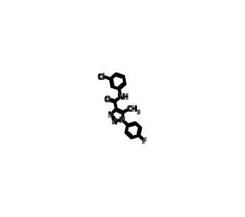 Cc1c(C(=O)Nc2cccc(Cl)c2)nnn1-c1ccc(F)cc1